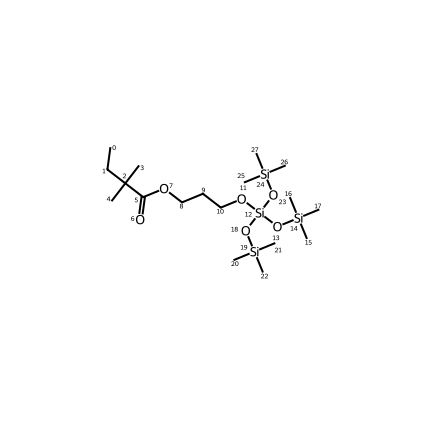 CCC(C)(C)C(=O)OCCCO[Si](O[Si](C)(C)C)(O[Si](C)(C)C)O[Si](C)(C)C